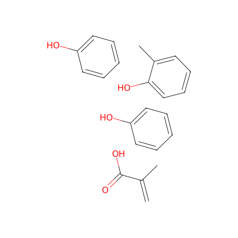 C=C(C)C(=O)O.Cc1ccccc1O.Oc1ccccc1.Oc1ccccc1